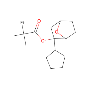 CCC(C)(C)C(=O)OC1(C2CCCC2)CC2CCC1O2